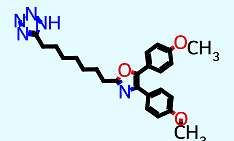 COc1ccc(-c2nc(CCCCCCCc3nnn[nH]3)oc2-c2ccc(OC)cc2)cc1